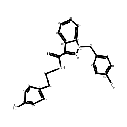 O=C(NCCc1ccc(O)cc1)c1nn(Cc2ccc(Cl)cc2)c2ccccc12